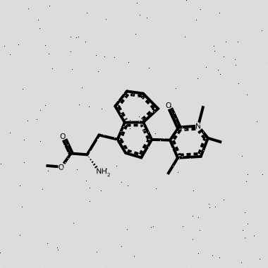 COC(=O)[C@@H](N)Cc1ccc(-c2c(C)cc(C)n(C)c2=O)c2ccccc12